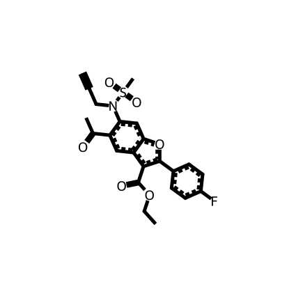 C#CCN(c1cc2oc(-c3ccc(F)cc3)c(C(=O)OCC)c2cc1C(C)=O)S(C)(=O)=O